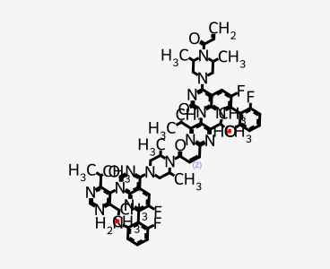 C=CC(=O)N1C(C)CN(c2nc(=O)n(-c3c(C(C)C)nc(/C=C\C(=O)N4C(C)CN(c5nc(=O)n(-c6c(C(C)C)ncnc6C(C)C)c6nc(-c7c(N)cccc7F)c(F)cc56)CC4C)nc3C(C)C)c3nc(-c4c(O)cccc4F)c(F)cc23)CC1C